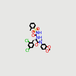 Cc1ccccc1S(=O)(=O)NC(=O)N[C@@H](Cc1ccc(Cl)cc1Cl)C(=O)N(C)c1ccc2c(c1)OCO2